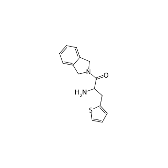 NC(Cc1cccs1)C(=O)N1Cc2ccccc2C1